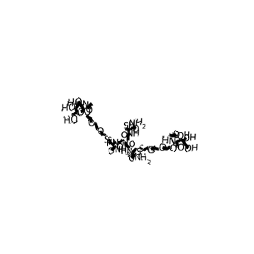 CC(=O)NC1C(OCCOCCOCCSSCC(NC(=O)CN(CC(=O)NC(CS)C(N)=O)CC(=O)NC(CSSCCOCCOCCOC2OC(CO)C(O)C(O)C2NC(C)=O)C(N)=O)C(N)=O)OC(CO)C(O)C1O